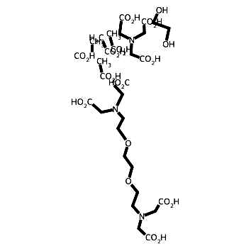 CC(=O)O.CC(=O)O.CC(=O)O.CC(=O)O.O=C(O)CN(CC(=O)O)CC(=O)O.O=C(O)CN(CCOCCOCCN(CC(=O)O)CC(=O)O)CC(=O)O.OCCO